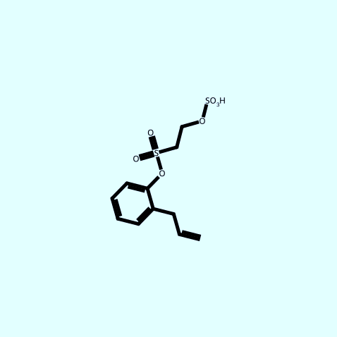 C=CCc1ccccc1OS(=O)(=O)CCOS(=O)(=O)O